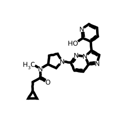 CN(C(=O)CC1CC1)C1CCN(c2ccc3ncc(-c4cccnc4O)n3n2)C1